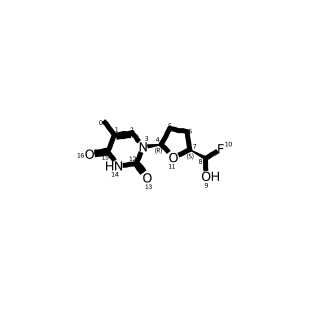 Cc1cn([C@H]2CC[C@@H](C(O)F)O2)c(=O)[nH]c1=O